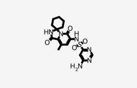 Cc1cc(NS(=O)(=O)c2cc(N)ncn2)c(=O)n2c1C(=O)NC21CCCCC1